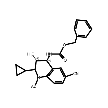 CC(=O)N1c2ccc(C#N)cc2[C@H](NC(=O)OCc2ccccc2)[C@@H](C)C1C1CC1